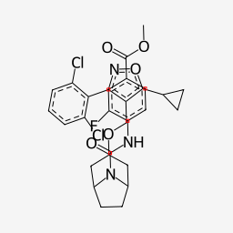 COC(=O)c1ccc(NC(=O)N2C3CCC2CC(OCc2c(-c4c(Cl)cccc4Cl)noc2C2CC2)C3)c(F)c1